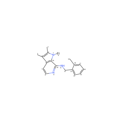 CCn1c(C)c(C)c2ccnc(NCc3ccccc3C)c21